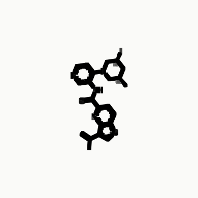 C=C(C)c1coc2ccc(C(=O)Nc3cnccc3N3C[C@H](C)C[C@H](I)C3)nc12